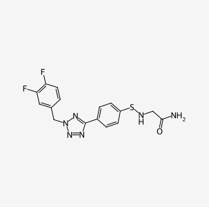 NC(=O)CNSc1ccc(-c2nnn(Cc3ccc(F)c(F)c3)n2)cc1